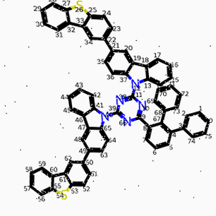 c1ccc(-c2cccc(-c3nc(-n4c5ccccc5c5cc(-c6ccc7sc8ccccc8c7c6)ccc54)nc(-n4c5ccccc5c5cc(-c6ccc7sc8ccccc8c7c6)ccc54)n3)c2-c2ccccc2)cc1